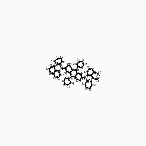 c1ccc(-c2c3ccc(N(c4ccccn4)c4cccc5ccccc45)cc3c(-c3ccccc3)c3ccc(N(c4ccccn4)c4cccc5ccccc45)cc23)cc1